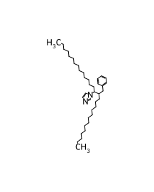 CCCCCCCCCCCCCCC(C(CCCCCCCCCCCCC)Cc1ccccc1)n1ccnc1